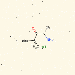 C=C(CCCC)C(=O)[C@@H](N)C(C)C.Cl